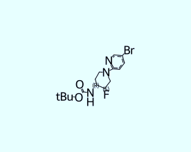 CC(C)(C)OC(=O)N[C@@H]1CCN(c2ccc(Br)cn2)C[C@@H]1F